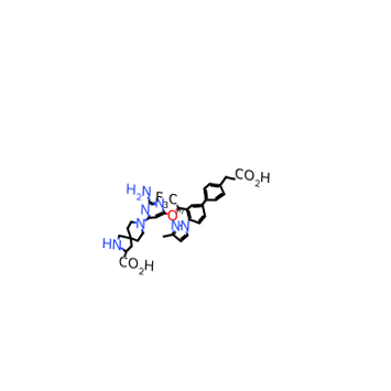 Cc1ccn(-c2ccc(-c3ccc(CCC(=O)O)cc3)cc2[C@@H](Oc2cc(N3CCC4(CC3)CNC(C(=O)O)C4)nc(N)n2)C(F)(F)F)n1